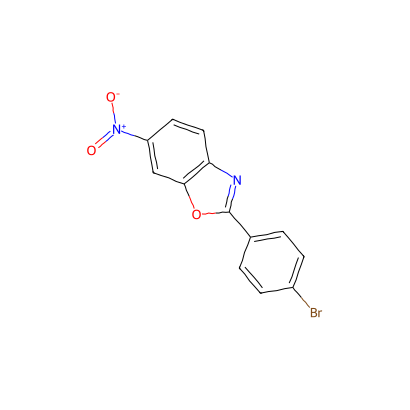 O=[N+]([O-])c1ccc2nc(-c3ccc(Br)cc3)oc2c1